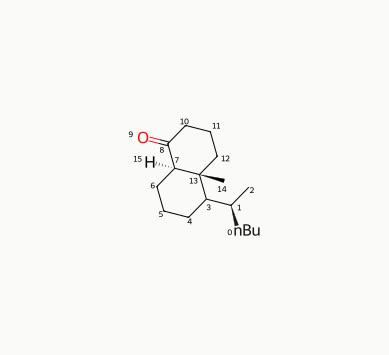 CCCC[C@H](C)C1CCC[C@H]2C(=O)CCC[C@]12C